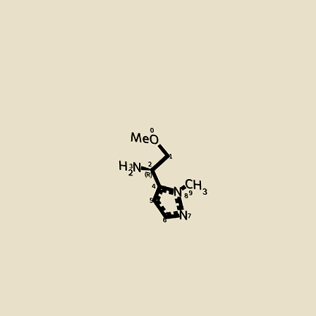 COC[C@H](N)c1ccnn1C